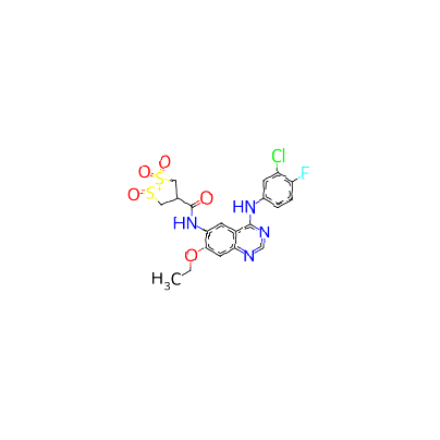 CCOc1cc2ncnc(Nc3ccc(F)c(Cl)c3)c2cc1NC(=O)C1C[S+]([O-])S(=O)(=O)C1